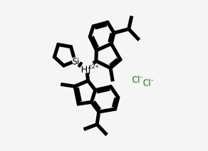 CC1=Cc2c(C(C)C)cccc2[CH]1[Hf+2]([CH]1C(C)=Cc2c(C(C)C)cccc21)=[Si]1CCCC1.[Cl-].[Cl-]